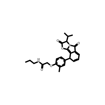 CCCNC(=O)COc1ccc(C2C=CC=C3C(=O)N4C(=C32)OC(=O)C4C(C)C)cc1C